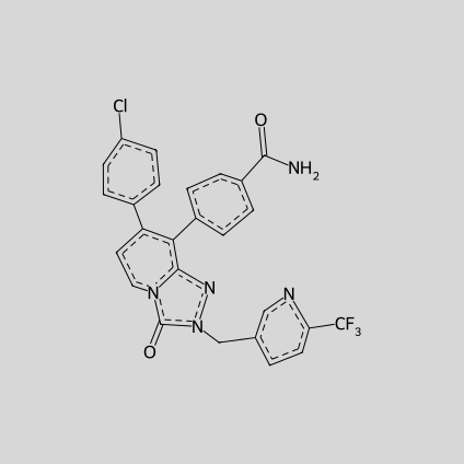 NC(=O)c1ccc(-c2c(-c3ccc(Cl)cc3)ccn3c(=O)n(Cc4ccc(C(F)(F)F)nc4)nc23)cc1